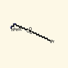 CCCCC/C=C\C/C=C\CCCCCCCCOC(=O)OCCCCCCCCCCCCCC(C)C